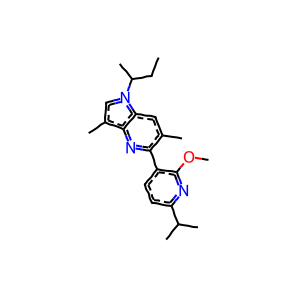 CCC(C)n1cc(C)c2nc(-c3ccc(C(C)C)nc3OC)c(C)cc21